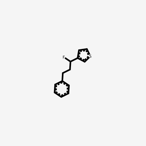 FC(CCc1ccccc1)c1ccsc1